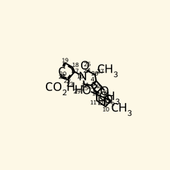 C[C@@H]1CCC23C4OO[C@@]5(C)CCC41C2[C@@H](O5)N(c1ccccc1C(=O)O)C(=O)[C@@H]3C